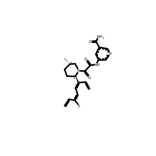 C=C/C(F)=C\C=C(/C=C)[C@H]1CC[C@H](C)CN1C(=O)C(=O)Nc1cncc(C(N)=O)c1